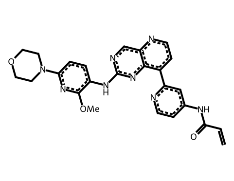 C=CC(=O)Nc1ccnc(-c2ccnc3cnc(Nc4ccc(N5CCOCC5)nc4OC)nc23)c1